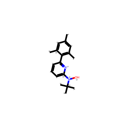 Cc1cc(C)c(-c2cccc(N(O)C(C)(C)C)n2)c(C)c1